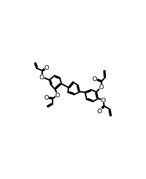 C=CC(=O)Oc1ccc(-c2ccc(-c3ccc(OC(=O)C=C)c(OC(=O)C=C)c3)cc2)c(OC(=O)C=C)c1